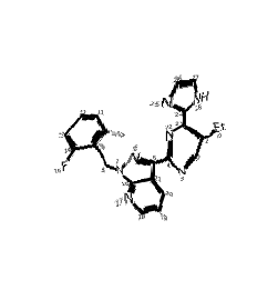 CCc1cnc(-c2nn(Cc3ccccc3F)c3ncccc23)nc1-c1ncc[nH]1